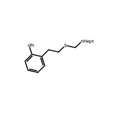 CCCCCCCCSCCc1ccccc1CCC